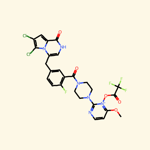 COc1ccnc(N2CCN(C(=O)c3cc(Cc4c[nH]c(=O)c5cc(Cl)c(Cl)n45)ccc3F)CC2)[n+]1OC(=O)C(F)(F)F